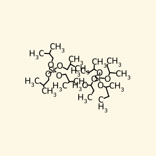 CC(C)CO[Si](OCC(C)C)(OCC(C)C)OCC(C)C.CCC(C)O[Si](OC(C)CC)(OC(C)CC)OC(C)CC